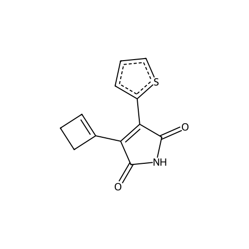 O=C1NC(=O)C(c2cccs2)=C1C1=CCC1